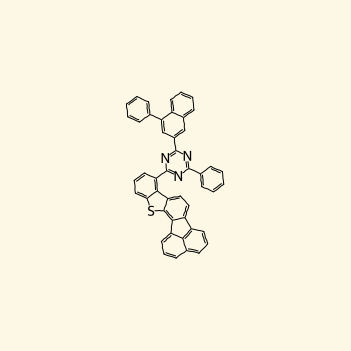 c1ccc(-c2nc(-c3cc(-c4ccccc4)c4ccccc4c3)nc(-c3cccc4sc5c6c(ccc5c34)-c3cccc4cccc-6c34)n2)cc1